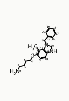 Cc1c(OCCCCN)ccc2c1N(Cc1ccccc1)CN2